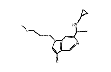 COCCCn1cc(Cl)c2cnc(C(C)NC3CC3)cc21